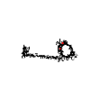 COc1cc2cc(c1Cl)N(C)C(=O)C[C@H](OC(=O)[C@H](C)OCCOCCOCCOCCOCCOCCN1C(=O)CC(SNI)C1=O)[C@@]1(C)CC(C)(O1)[C@@H]1C[C@@](O)(NC(=O)O1)[C@H](OC)/C=C/C=C(\C)C2